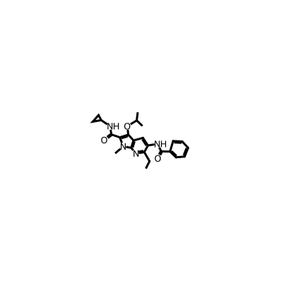 CCc1nc2c(cc1NC(=O)c1ccccc1)c(OC(C)C)c(C(=O)NC1CC1)n2C